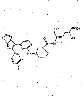 C=CC(O)C/C=C(\CO)NC(=O)N1CCC[C@@H](Nc2nccc(-c3c(-c4ccc(F)cc4)nc4occn34)n2)C1